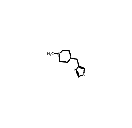 CN1CCN(Cc2cs[c]n2)CC1